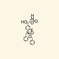 O=C1NCC(C(O)c2ccc(N(Cc3ccccc3)C(=O)OCc3ccccc3)c(F)c2)O1